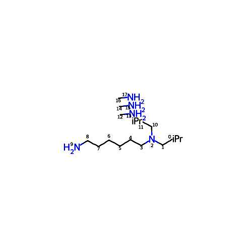 CC(C)CN(CCCCCCN)CC(C)C.CN.CN.CN